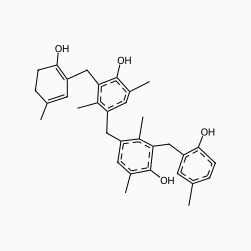 CC1=CC(Cc2c(C)c(Cc3cc(C)c(O)c(Cc4cc(C)ccc4O)c3C)cc(C)c2O)=C(O)CC1